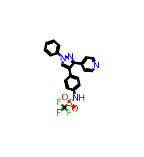 O=S(=O)(Nc1ccc(-c2cn(-c3ccccc3)nc2-c2ccncc2)cc1)C(F)(F)F